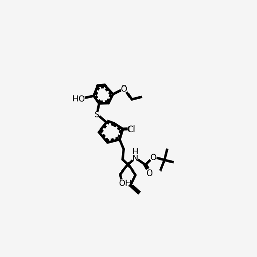 C=CCC(CO)(CCc1ccc(Sc2cc(OCC)ccc2O)cc1Cl)NC(=O)OC(C)(C)C